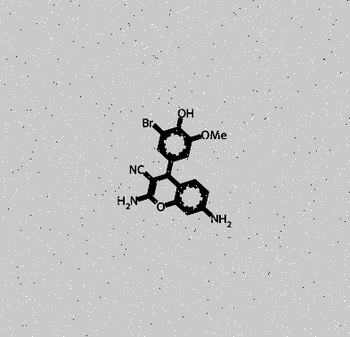 COc1cc(C2C(C#N)=C(N)Oc3cc(N)ccc32)cc(Br)c1O